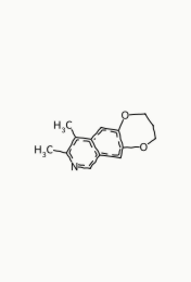 Cc1ncc2cc3c(cc2c1C)OCCCO3